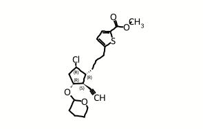 C#C[C@@H]1[C@@H](CCCc2ccc(C(=O)OC)s2)[C@H](Cl)C[C@H]1OC1CCCCO1